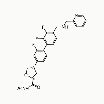 CC(=O)NC(=O)[C@@H]1CN(c2ccc(-c3ccc(CNCc4ccccn4)c(F)c3F)c(F)c2)CO1